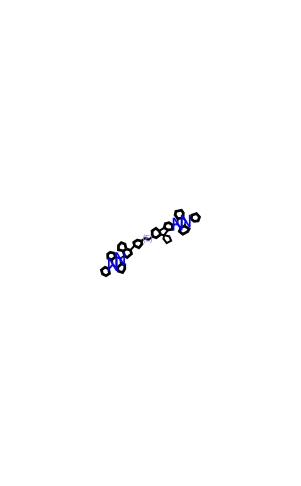 C(=C\c1ccc2c(c1)C1(CCCC1)c1cc(N3c4ccccc4N(c4ccccc4)c4ccccc43)ccc1-2)/c1ccc(-c2ccc(N3c4ccccc4N(c4ccccc4)c4ccccc43)c3ccccc23)cc1